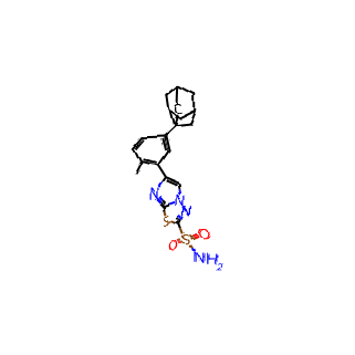 Cc1ccc(C23CC4CC(CC2C4)C3)cc1-c1cn2nc(S(N)(=O)=O)sc2n1